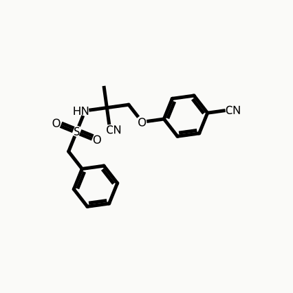 CC(C#N)(COc1ccc(C#N)cc1)NS(=O)(=O)Cc1ccccc1